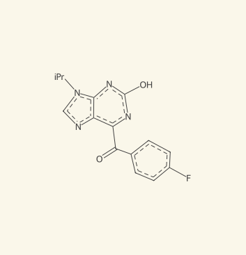 CC(C)n1cnc2c(C(=O)c3ccc(F)cc3)nc(O)nc21